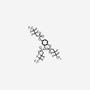 O=S(=O)(CC(F)(F)C(F)(F)C(F)(F)F)Oc1ccc(OS(=O)(=O)CC(F)(F)C(F)(F)C(F)(F)F)c(OS(=O)(=O)CC(F)(F)C(F)(F)C(F)(F)F)c1